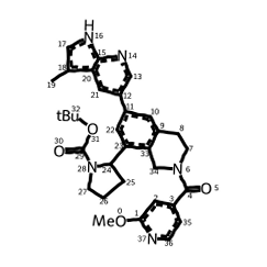 COc1cc(C(=O)N2CCc3cc(-c4cnc5[nH]cc(C)c5c4)cc(C4CCCN4C(=O)OC(C)(C)C)c3C2)ccn1